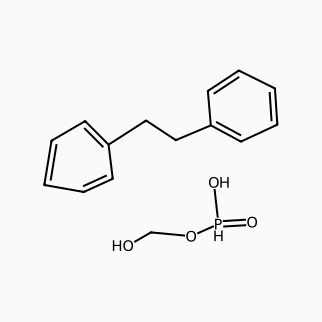 O=[PH](O)OCO.c1ccc(CCc2ccccc2)cc1